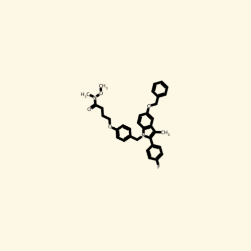 CON(C)C(=O)CCCOc1ccc(Cn2c(-c3ccc(F)cc3)c(C)c3cc(OCc4ccccc4)ccc32)cc1